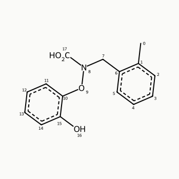 Cc1ccccc1CN(Oc1ccccc1O)C(=O)O